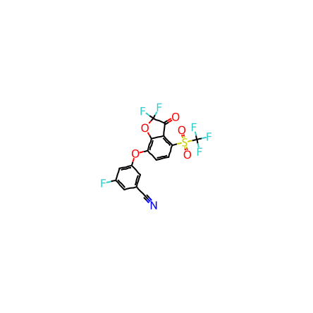 N#Cc1cc(F)cc(Oc2ccc(S(=O)(=O)C(F)(F)F)c3c2OC(F)(F)C3=O)c1